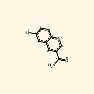 CCc1ccc2ncc(C(N)=O)cc2c1